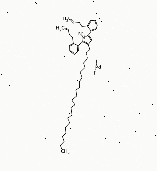 C=CCCc1ccccc1C1=CC(CCCCCCCCCCCCCCCCCCCCCCC)=C(c2ccccc2CCC=C)[N+]1=[N-].[I][Pd][I]